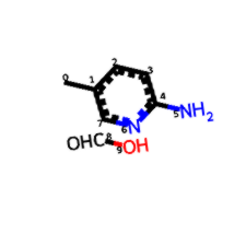 Cc1ccc(N)nc1.O=CO